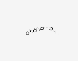 Cc1ccc(C(=O)Cc2ccc(OC(=O)c3ccc(OCC[n+]4ccc(N(C)C)cc4)cc3)c(C)c2C)cc1